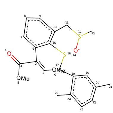 CO/C=C(/C(=O)OC)c1cccc(C[S+](C)[O-])c1SCc1cc(C)ccc1C